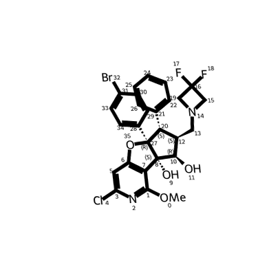 COc1nc(Cl)cc2c1[C@]1(O)[C@H](O)[C@H](CN3CC(F)(F)C3)[C@@H](c3ccccc3)[C@]1(c1ccc(Br)cc1)O2